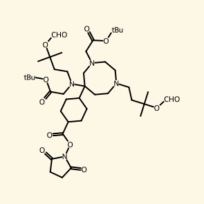 CC(C)(C)OC(=O)CN1CCN(CCC(C)(C)OC=O)CCC(C2CCC(C(=O)ON3C(=O)CCC3=O)CC2)(N(CCC(C)(C)OC=O)CC(=O)OC(C)(C)C)C1